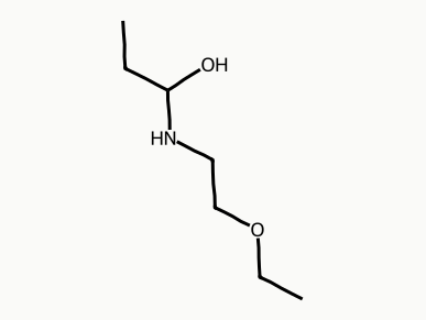 CCOCCNC(O)CC